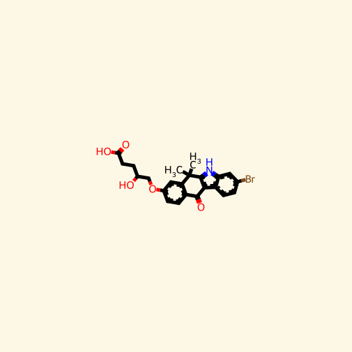 CC1(C)c2cc(OCC(O)CCC(=O)O)ccc2C(=O)c2c1[nH]c1cc(Br)ccc21